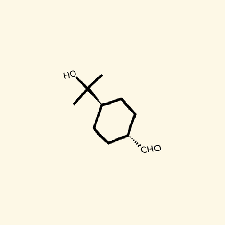 CC(C)(O)[C@H]1CC[C@H](C=O)CC1